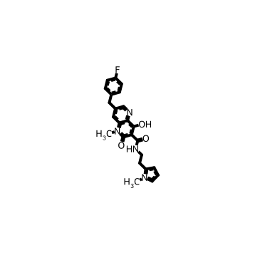 Cn1cccc1CCNC(=O)c1c(O)c2ncc(Cc3ccc(F)cc3)cc2n(C)c1=O